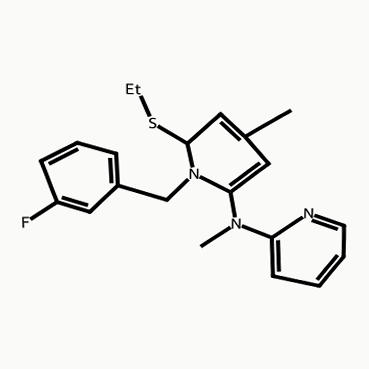 CCSC1C=C(C)C=C(N(C)c2ccccn2)N1Cc1cccc(F)c1